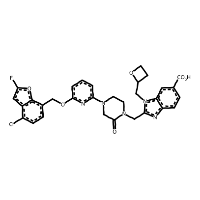 O=C(O)c1ccc2nc(CN3CCN(c4cccc(OCc5ccc(Cl)c6cc(F)oc56)n4)CC3=O)n(CC3CCO3)c2c1